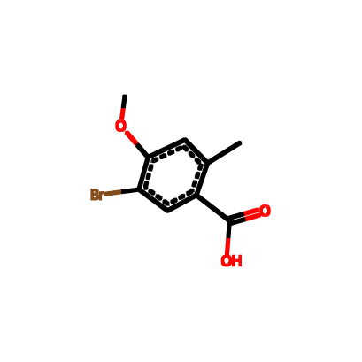 COc1cc(C)c(C(=O)O)cc1Br